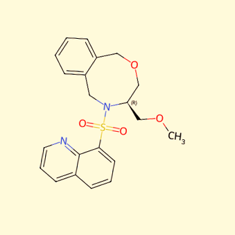 COC[C@@H]1COCc2ccccc2CN1S(=O)(=O)c1cccc2cccnc12